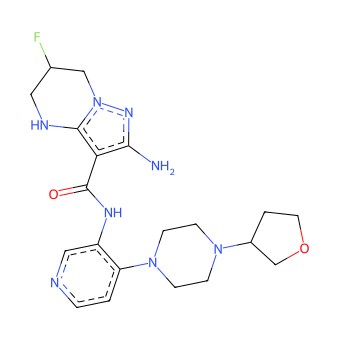 Nc1nn2c(c1C(=O)Nc1cnccc1N1CCN(C3CCOC3)CC1)NCC(F)C2